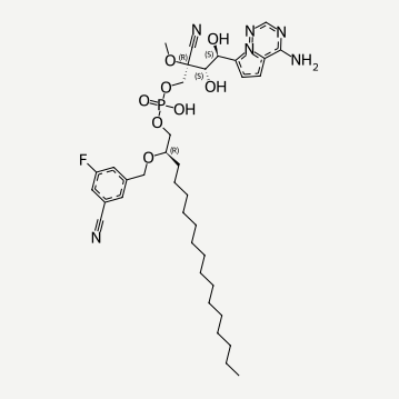 CCCCCCCCCCCCCCC[C@H](COP(=O)(O)OC[C@@](C#N)(OC)[C@@H](O)[C@@H](O)c1ccc2c(N)ncnn12)OCc1cc(F)cc(C#N)c1